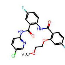 COCCOc1cc(F)ccc1C(=O)Nc1ccc(F)cc1C(=O)Nc1ccc(Cl)cn1